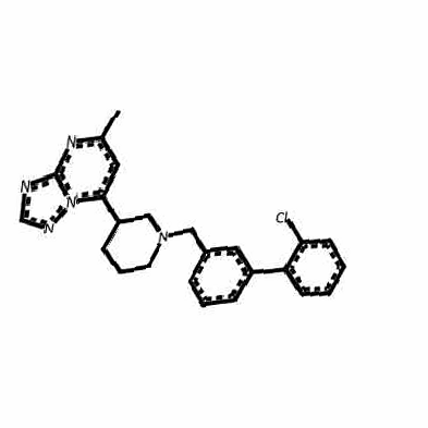 Cc1cc(C2CCCN(Cc3cccc(-c4ccccc4Cl)c3)C2)n2ncnc2n1